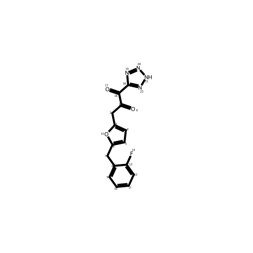 O=C(Cc1ccc(Cc2ccccc2F)o1)C(=O)c1nn[nH]n1